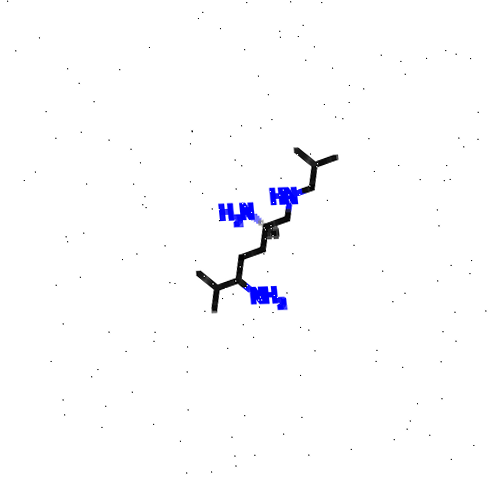 CC(C)CNC[C@@H](N)CCC(N)C(C)C